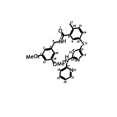 COc1cc(CNC(=O)c2cc(Sc3cnc(Nc4ccccn4)s3)ccc2C)cc(OC)c1